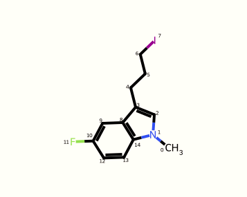 Cn1cc(CCCI)c2cc(F)ccc21